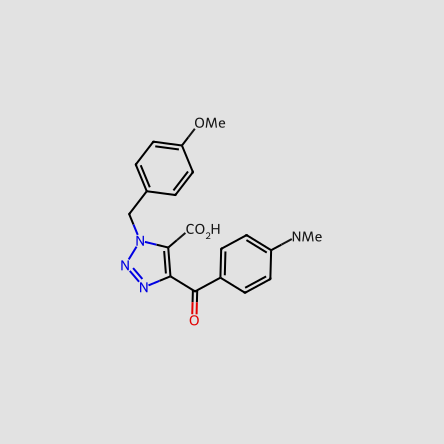 CNc1ccc(C(=O)c2nnn(Cc3ccc(OC)cc3)c2C(=O)O)cc1